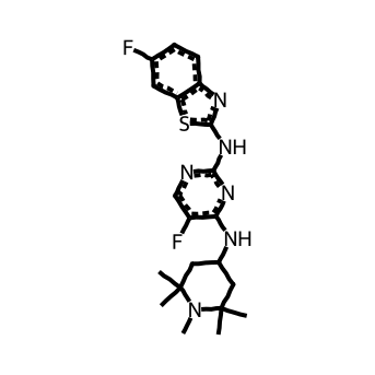 CN1C(C)(C)CC(Nc2nc(Nc3nc4ccc(F)cc4s3)ncc2F)CC1(C)C